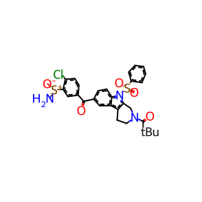 CC(C)(C)C(=O)N1CCc2c(n(S(=O)(=O)c3ccccc3)c3ccc(C(=O)c4ccc(Cl)c([S+](N)[O-])c4)cc23)C1